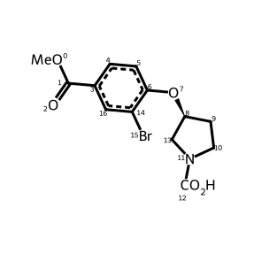 COC(=O)c1ccc(O[C@H]2CCN(C(=O)O)C2)c(Br)c1